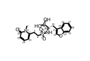 Cn1c(CCS(=O)(=O)N[C@@H](Cc2coc3ccccc23)B(O)O)cccc1=O